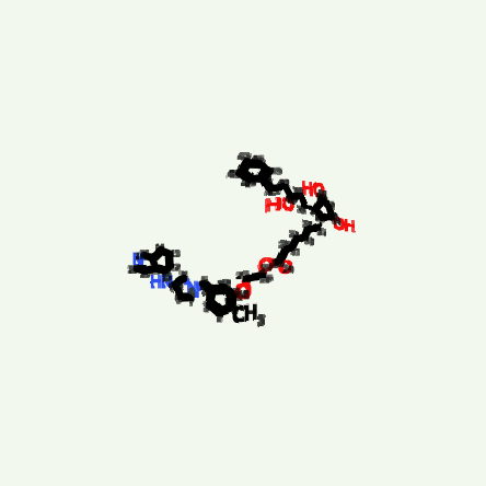 Cc1ccc(CN2CC[C@@H](Nc3cccc4cnccc34)C2)cc1OCCOC(=O)CCCC=CC[C@@H]1[C@@H](CC[C@@H](O)CCc2ccccc2)[C@H](O)C[C@H]1O